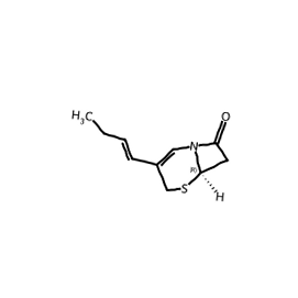 CCC=CC1=CN2C(=O)C[C@H]2SC1